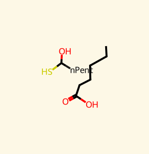 CCCCCC(=O)O.CCCCCC(O)S